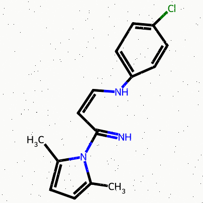 Cc1ccc(C)n1C(=N)/C=C\Nc1ccc(Cl)cc1